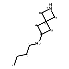 CCCCOC1CC2(CNC2)C1